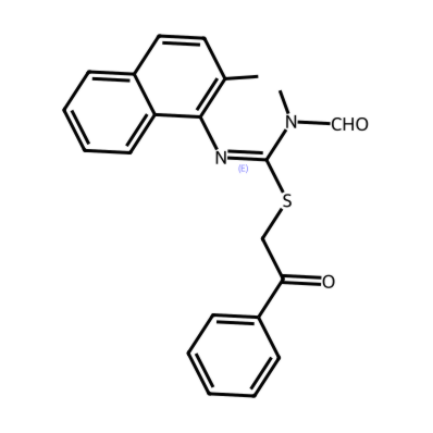 Cc1ccc2ccccc2c1/N=C(/SCC(=O)c1ccccc1)N(C)C=O